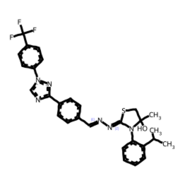 CC(C)c1ccccc1N1/C(=N/N=C/c2ccc(-c3ncn(-c4ccc(C(F)(F)F)cc4)n3)cc2)SCC1(C)O